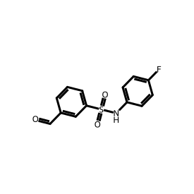 O=Cc1cccc(S(=O)(=O)Nc2ccc(F)cc2)c1